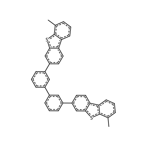 Cc1cccc2c1sc1cc(-c3cccc(-c4cccc(-c5ccc6c(c5)sc5c(C)cccc56)c4)c3)ccc12